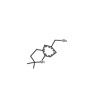 CC(C)(C)Cc1ccc2c(c1)[C]CC(C)(C)N2